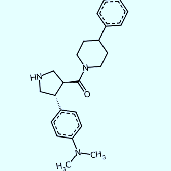 CN(C)c1ccc([C@@H]2CNC[C@H]2C(=O)N2CCC(c3ccccc3)CC2)cc1